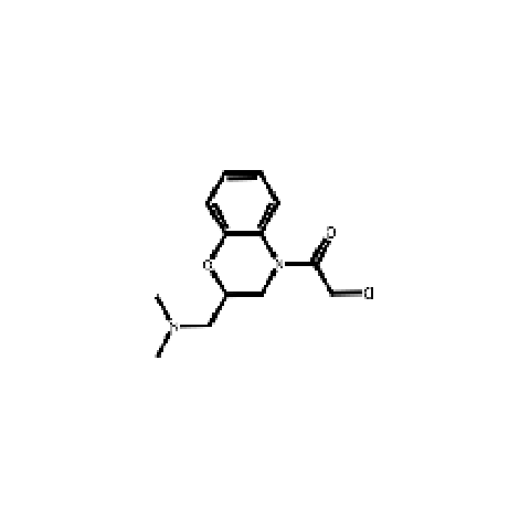 CN(C)CC1CN(C(=O)CCl)c2ccccc2O1